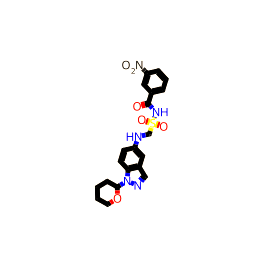 O=C(NS(=O)(=O)CNc1ccc2c(cnn2C2CCCCO2)c1)c1cccc([N+](=O)[O-])c1